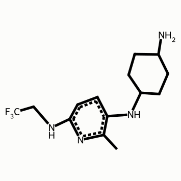 Cc1nc(NCC(F)(F)F)ccc1NC1CCC(N)CC1